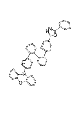 c1ccc(-c2nnc(-c3ccc(-c4ccccc4-c4ccccc4-c4ccc(N5c6ccccc6Oc6ccccc65)cc4)cc3)o2)cc1